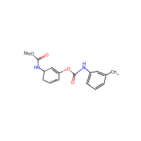 COC(=O)NC1C=C(OC(=O)Nc2cccc(C)c2)C=CC1